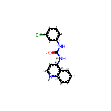 O=C(Nc1cccc(Cl)c1)Nc1ccnc2ccccc12